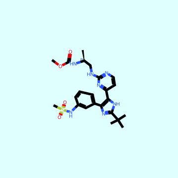 COC(=O)N[C@@H](C)CNc1nccc(-c2[nH]c(C(C)(C)C)nc2-c2cccc(NS(C)(=O)=O)c2)n1